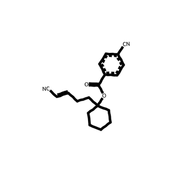 N#CC=CCCC1(OC(=O)c2ccc(C#N)cc2)CCCCC1